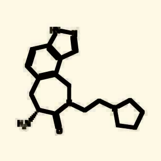 N[C@@H]1Cc2ccc3[nH]ncc3c2CN(CCN2CCCC2)C1=O